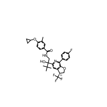 Cc1cc(C(=O)NCC(O)(c2cc3c(c(-c4ccc(F)cc4)n2)OC[C@H]3C(F)(F)F)C(C)(C)C)ccc1OC1CC1